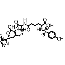 Cc1ccc(S(=O)(=O)NC(CCCC(=O)NC2C(=O)N3C(C(=O)O)=C(CSc4nnnn4C)CS[C@@H]23)C(=O)O)cc1